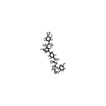 Cc1ccc(C(C)C)c(N2C(=O)CS/C2=N\C(=O)Nc2ccc(-c3nn(C)c(NC(=O)c4ccc(C(F)(F)F)cc4)c3C)cc2)c1